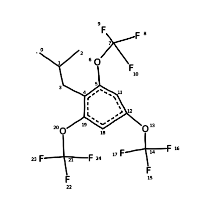 [CH2]C(C)Cc1c(OC(F)(F)F)cc(OC(F)(F)F)cc1OC(F)(F)F